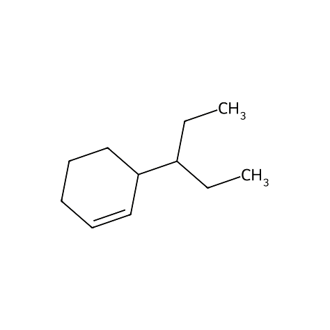 CCC(CC)C1C=CCCC1